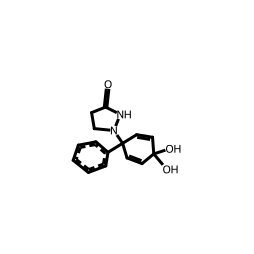 O=C1CCN(C2(c3ccccc3)C=CC(O)(O)C=C2)N1